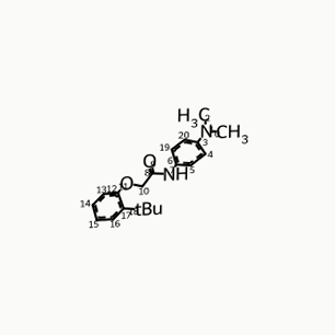 CN(C)c1ccc(NC(=O)COc2ccccc2C(C)(C)C)cc1